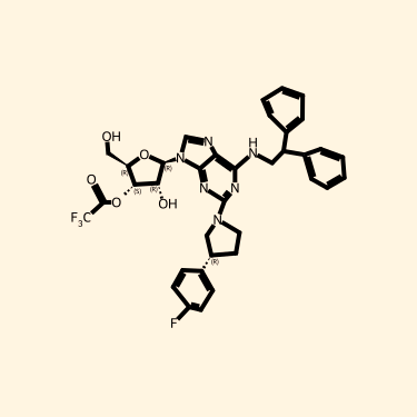 O=C(O[C@H]1[C@@H](O)[C@H](n2cnc3c(NCC(c4ccccc4)c4ccccc4)nc(N4CC[C@H](c5ccc(F)cc5)C4)nc32)O[C@@H]1CO)C(F)(F)F